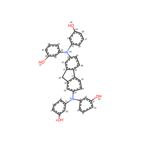 Oc1cccc(N(c2cccc(O)c2)c2ccc3c(c2)Cc2cc(N(c4cccc(O)c4)c4cccc(O)c4)ccc2-3)c1